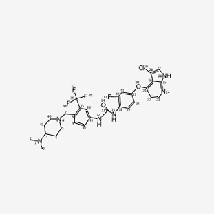 CN(C)C1CCN(Cc2ccc(NC(=O)Nc3ccc(Oc4ccnc5[nH]cc(Cl)c45)cc3F)cc2C(F)(F)F)CC1